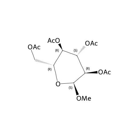 CO[C@H]1O[C@H](COC(C)=O)[C@@H](OC(C)=O)[C@H](OC(C)=O)[C@H]1OC(C)=O